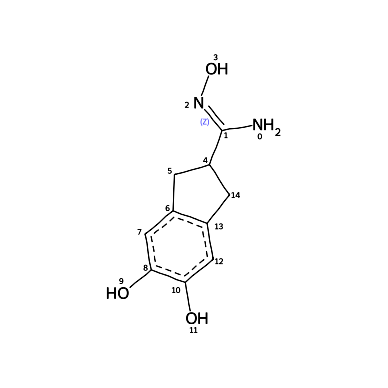 N/C(=N\O)C1Cc2cc(O)c(O)cc2C1